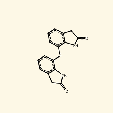 O=C1Cc2cccc(Oc3cccc4c3NC(=O)C4)c2N1